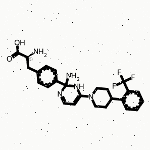 N[C@@H](Cc1ccc(C2(N)N=CC=C(N3CCC(c4ccccc4C(F)(F)F)CC3)N2)cc1)C(=O)O